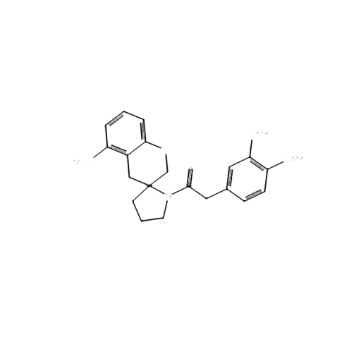 COc1ccc(CC(=O)N2CCCC23COc2cccc(OC)c2C3)cc1OC